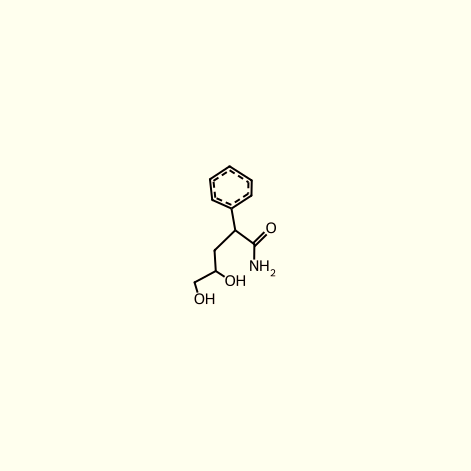 NC(=O)C(CC(O)CO)c1ccccc1